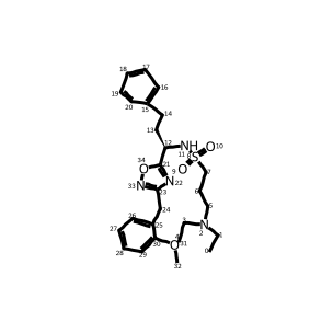 CCN(CC)CCCS(=O)(=O)N[C@H](CCc1ccccc1)c1nc(Cc2ccccc2OC)no1